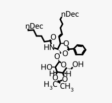 CCCCCCCCCCCCC/C=C/[C@@H](OC(=O)c1ccccc1)[C@H](CO[C@@H]1O[C@H](CO)[C@@H]2OC(C)(C)O[C@@H]2[C@H]1O)NC(=O)CCCCCCCCCCCCCCC